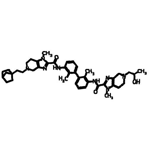 Cc1c(NC(=O)c2nc3c(n2C)CCN(CCC24CCC(CC2)C4)C3)cccc1-c1cccc(NC(=O)c2nc3c(n2C)CCN(C[C@@H](C)O)C3)c1C